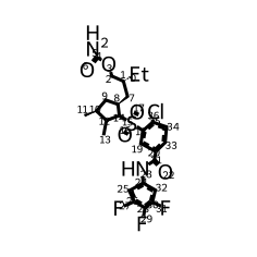 CC[C@@H](COC(N)=O)C[C@@H]1C[C@H](C)C(C)C1S(=O)(=O)c1cc(C(=O)Nc2cc(F)c(F)c(F)c2)ccc1Cl